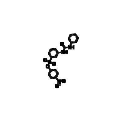 O=C(Nc1ccccc1)Nc1cccc(S(=O)(=O)Oc2ccc([N+](=O)[O-])cc2)c1